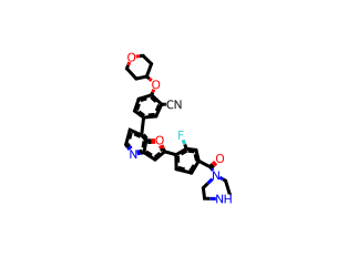 N#Cc1cc(-c2ccnc3cc(-c4ccc(C(=O)N5CCNCC5)cc4F)oc23)ccc1OC1CCOCC1